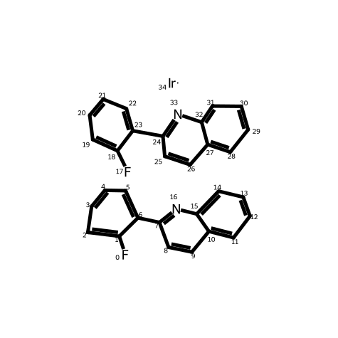 Fc1ccccc1-c1ccc2ccccc2n1.Fc1ccccc1-c1ccc2ccccc2n1.[Ir]